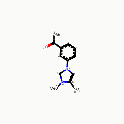 COC(=O)c1cccc(N2C=C([N+](=O)[O-])N(OC)C2)c1